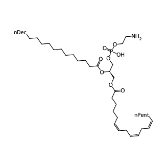 CCCCC/C=C\C/C=C\C/C=C\CCCCC(=O)OC[C@H](COP(=O)(O)OCCN)OC(=O)CCCCCCCCCCCCCCCCCCCCC